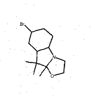 CC1(C)C2CC(Br)CCC2N2CCOC21C